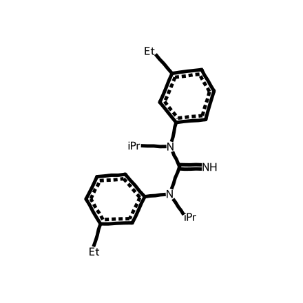 CCc1cccc(N(C(=N)N(c2cccc(CC)c2)C(C)C)C(C)C)c1